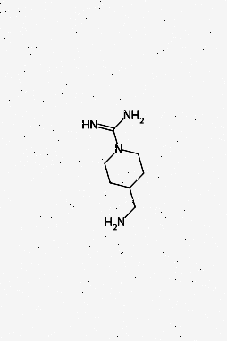 N=C(N)N1CCC(CN)CC1